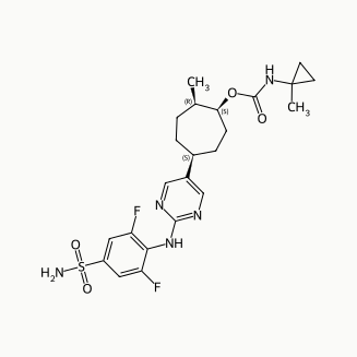 C[C@@H]1CC[C@H](c2cnc(Nc3c(F)cc(S(N)(=O)=O)cc3F)nc2)CC[C@@H]1OC(=O)NC1(C)CC1